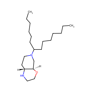 CCCCCCCC(CCCCCC)N1CC[C@H]2NCCO[C@@H]2C1